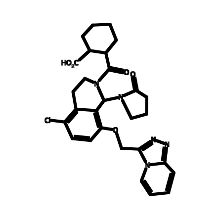 O=C(O)C1CCCCC1C(=O)N1CCc2c(Cl)ccc(OCc3nnc4ccccn34)c2C1N1CCCC1=O